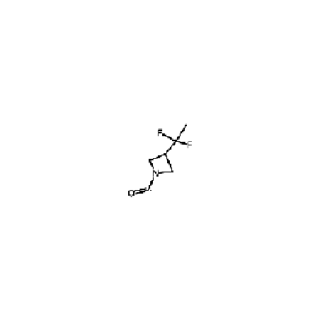 CC(F)(F)C1CN([C]=O)C1